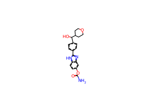 NC(=O)Oc1ccc2[nH]c(-c3ccc(C(O)C4CCOCC4)cc3)nc2c1